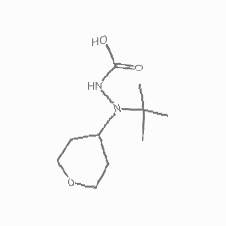 CC(C)(C)N(NC(=O)O)C1CCOCC1